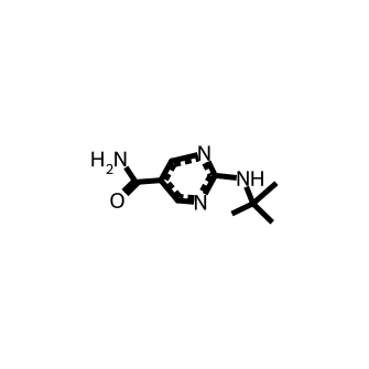 CC(C)(C)Nc1ncc(C(N)=O)cn1